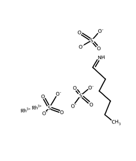 CCCCCC=N.O=S(=O)([O-])[O-].O=S(=O)([O-])[O-].O=S(=O)([O-])[O-].[Rh+3].[Rh+3]